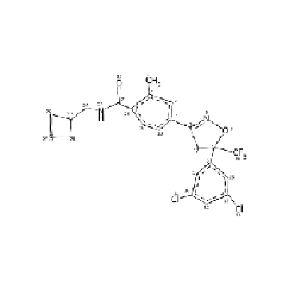 Cc1cc(C2=NOC(c3cc(Cl)cc(Cl)c3)(C(F)(F)F)C2)ccc1C(=O)NCC1CSC1